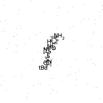 CC(C)(C)c1cnc(CSc2cnc(NC(=O)C3CCC(N)CC3)s2)o1